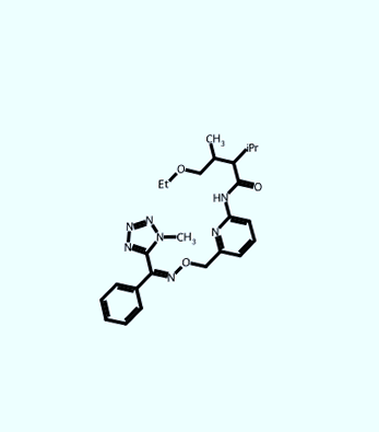 CCOCC(C)C(C(=O)Nc1cccc(CO/N=C(/c2ccccc2)c2nnnn2C)n1)C(C)C